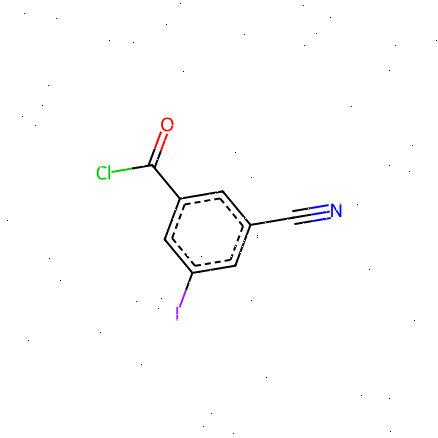 N#Cc1cc(I)cc(C(=O)Cl)c1